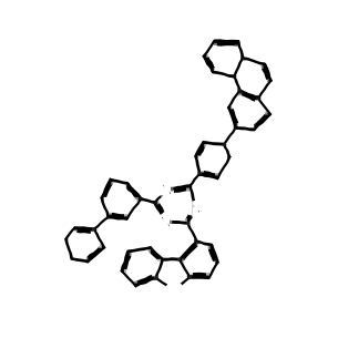 C1=CC2C=Cc3ccc(C4C=CC(c5nc(-c6cccc(C7=CCCC=C7)c6)nc(-c6cccc7oc8ccccc8c67)n5)=CC4)cc3C2C=C1